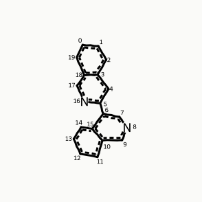 c1ccc2cc(-c3cncc4ccccc34)ncc2c1